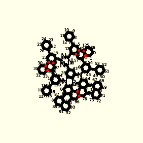 c1ccc(-c2cc(-c3ccccc3)cc(-c3nc(-c4cc(-c5ccccc5)cc(-c5ccccc5)c4)nc(-c4cc5c6c(c4)N(c4cc(-c7ccccc7)cc(-c7ccccc7)c4)c4cc7c8cccc9cccc(c%10cccc(c4B6c4c(cc6c%11cccc%12cccc(c%13cccc4c%136)c%12%11)N5c4cc(-c5ccccc5)cc(-c5ccccc5)c4)c%107)c98)n3)c2)cc1